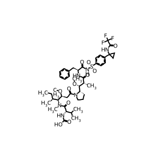 CC[C@H](C)[C@@H]([C@H](CC(=O)N1CCC[C@H]1[C@H](OC)[C@@H](C)C(=O)N[C@@H](Cc1ccccc1)C(=O)NS(=O)(=O)c1ccc(C2(NC(=O)C(F)(F)F)CC2)cc1)OC)N(C)C(=O)[C@@H](NC(=O)O)C(C)C